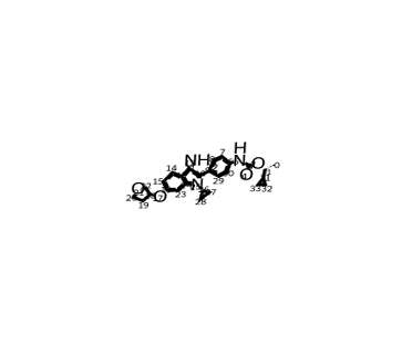 C[C@@H](OC(=O)Nc1ccc(-c2c(N)c3ccc(O[C@H]4CCOC4)cc3n2C2CC2)cc1)C1CC1